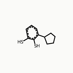 Sc1cccc(C2CCCC2)c1S